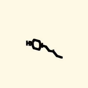 CC[CH]CCN1CCNCC1